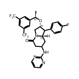 C[C@@H](O[C@H]1CN2C(=O)CC(Nc3ncccn3)C[C@H]2C1c1ccc(F)cc1)c1cc(C(F)(F)F)cc(C(F)(F)F)c1